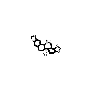 CN1Cc2c(ccc3c2OCO3)[C@]2(C)C1c1cc3c(cc1C[C@H]2O)OCO3